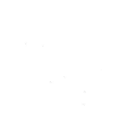 Nc1ccccc1NC(=O)c1ccc(Nc2ncc(-c3cnc4ccc(C5CC5)cn34)s2)cc1